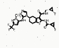 Cn1nc(C(F)(F)F)cc1Nc1nncn1C1CCc2sc(NC(=O)[C@H]3C[C@H]3F)c(C(=O)NC[C@@H]3C[C@@H]3F)c2C1